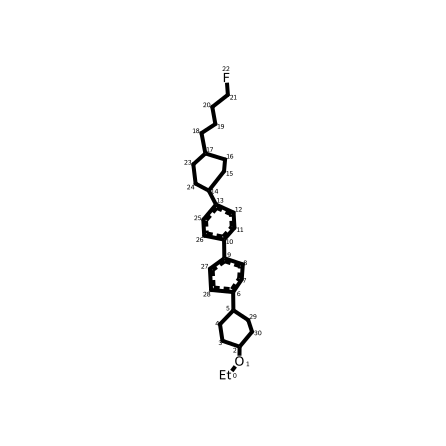 CCOC1CCC(c2ccc(-c3ccc(C4CCC(CCCCF)CC4)cc3)cc2)CC1